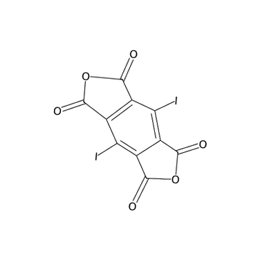 O=c1oc(=O)c2c(I)c3c(=O)oc(=O)c3c(I)c12